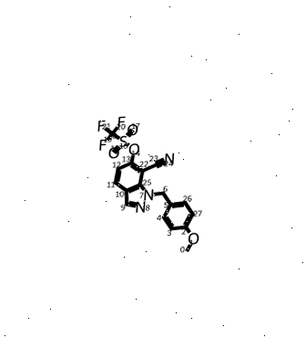 COc1ccc(Cn2ncc3ccc(OS(=O)(=O)C(F)(F)F)c(C#N)c32)cc1